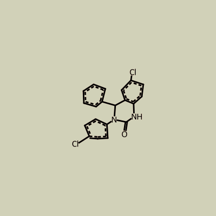 O=C1Nc2ccc(Cl)cc2C(c2ccccc2)N1c1ccc(Cl)cc1